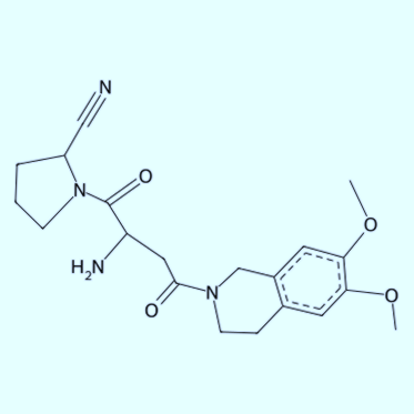 COc1cc2c(cc1OC)CN(C(=O)CC(N)C(=O)N1CCCC1C#N)CC2